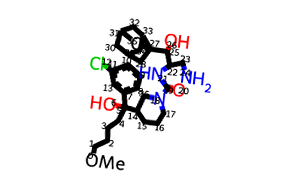 COCCCCC(O)(c1cccc(Cl)c1)C1CCCN(C(=O)NC(CN)C(O)C23CC4CC(CC2C4)C3)C1